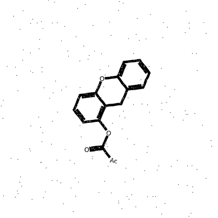 CC(=O)C(=O)Oc1cccc2c1Cc1ccccc1O2